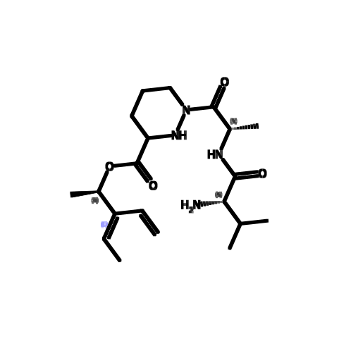 C=C/C(=C\C)[C@@H](C)OC(=O)C1CCCN(C(=O)[C@H](C)NC(=O)[C@@H](N)C(C)C)N1